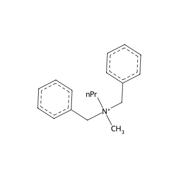 CCC[N+](C)(Cc1ccccc1)Cc1ccccc1